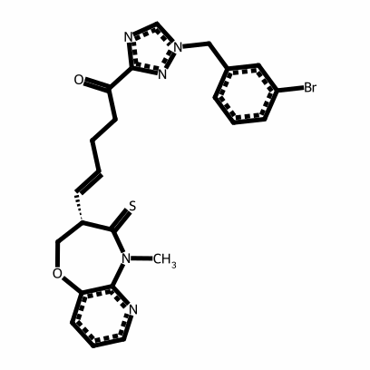 CN1C(=S)[C@@H](/C=C/CCC(=O)c2ncn(Cc3cccc(Br)c3)n2)COc2cccnc21